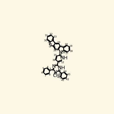 CN1C(c2ccccc2)=NC(C2=CNC(n3c4ccccc4c4cc5c(cc43)sc3ccccc35)C=C2)NC1c1ccccc1